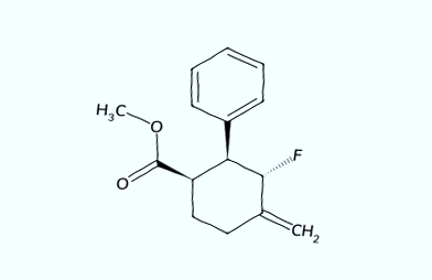 C=C1CC[C@@H](C(=O)OC)[C@@H](c2ccccc2)[C@@H]1F